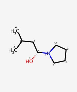 CC(C)C[C@@H](O)N1CCCC1